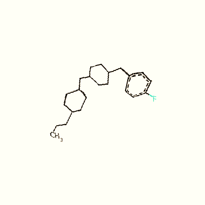 CCCC1CCC(CC2CCC(Cc3ccc(F)cc3)CC2)CC1